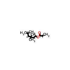 C=CC(=O)OCCC(C)(C)CC(C)C